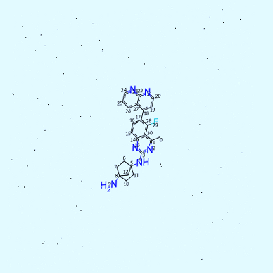 Cc1nc(NC23CCC(N)(CC2)C3)nc2ccc(-c3ccnc4ncccc34)c(F)c12